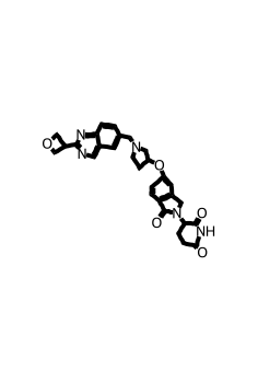 O=C1CCC(N2Cc3cc(OC4CCN(Cc5ccc6nc(C7COC7)ncc6c5)C4)ccc3C2=O)C(=O)N1